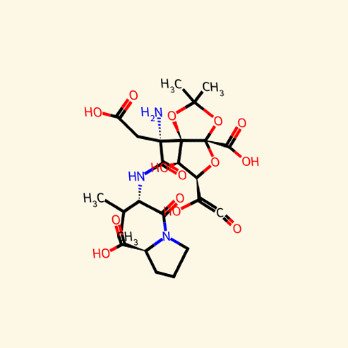 CC(C)[C@H](NC(=O)[C@@](N)(CC(=O)O)[C@]12OC(C)(C)O[C@]1(C(=O)O)O[C@@H](C(O)=C=O)[C@H]2O)C(=O)N1CCC[C@H]1C(=O)O